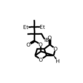 CCC(C)CC(C)(C(=O)OC1C2CC3C(=O)O[C@@H]1C3O2)C(C)(CC)CC